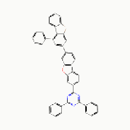 c1ccc(-c2nc(-c3ccccc3)nc(-c3ccc4c(c3)oc3cc(-c5cc(-c6ccccc6)c6c(c5)sc5ccccc56)ccc34)n2)cc1